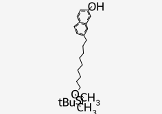 CC(C)(C)[Si](C)(C)OCCCCCCCCCc1ccc2ccc(O)cc2c1